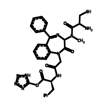 CC(C)C[C@H](NC(=O)CN1C(=O)C(N(C)C(=O)C(N)CS)N=C(c2ccccc2)c2ccccc21)C(=O)Oc1nnn[nH]1